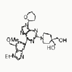 CCn1cnc2cc(-c3nc(N4CCC(CO)(CO)CC4)nc4c3ncn4C3CCCCO3)cc(COC)c21